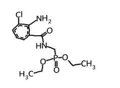 CCOP(=O)(CNC(=O)c1cccc(Cl)c1N)OCC